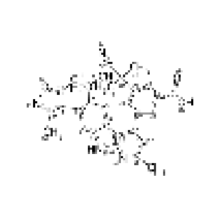 COc1cc2c(cc1-c1c(C)noc1C)[nH]c1nc(C)nc(-c3cc(C(=O)O)cc(C(C)(C)C#N)c3)c12